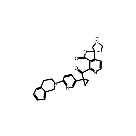 O=C1O[C@]2(CCNC2)c2ccnc(C(=O)C3(c4ccc(N5CCc6ccccc6C5)nc4)CC3)c21